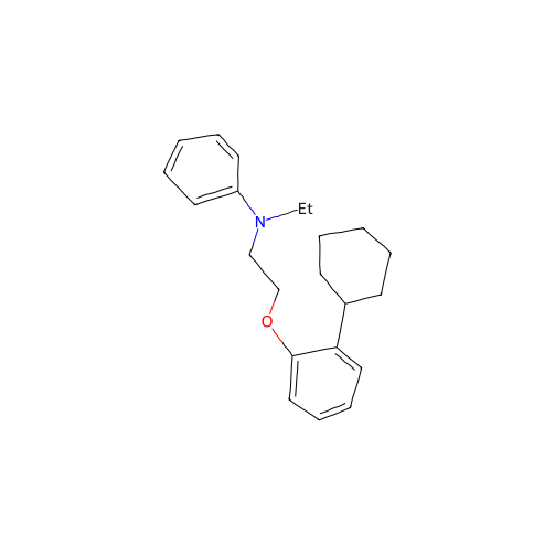 CCN(CCOc1ccccc1C1CCCCC1)c1ccccc1